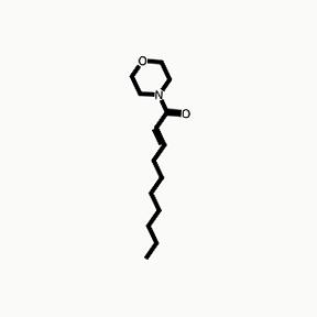 CCCCCCC/C=C/C(=O)N1CCOCC1